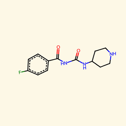 O=C(NC(=O)c1ccc(F)cc1)NC1CCNCC1